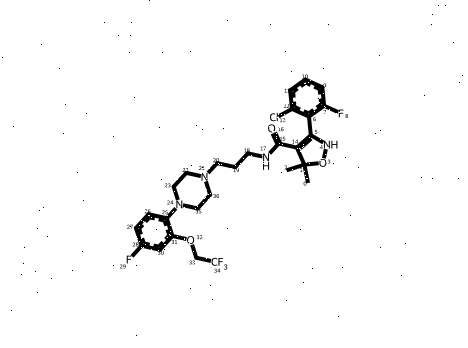 CC1(C)ONC(c2c(F)cccc2Cl)=C1C(=O)NCCCN1CCN(c2ccc(F)cc2OCC(F)(F)F)CC1